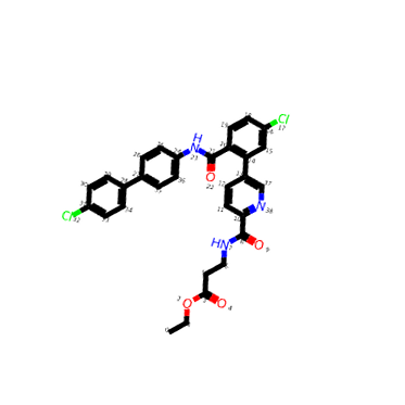 CCOC(=O)CCNC(=O)c1ccc(-c2cc(Cl)ccc2C(=O)Nc2ccc(-c3ccc(Cl)cc3)cc2)cn1